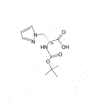 CC(C)(C)OC(=O)N[C@H](Cn1cccn1)C(=O)O